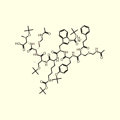 CC(=O)NCSC[C@H](NC(=O)[C@H](N)Cc1ccccc1)C(=O)N[C@@H](Cc1ccc(OC(C)(C)C)cc1)C(=O)N[C@H](Cc1cn(C(=O)OC(C)(C)C)c2ccccc12)C(=O)N[C@@H](CCCCNC(=O)OC(C)(C)C)C(=O)N[C@H](C(=O)N[C@@H](CSCNC(C)=O)C(=O)N[C@H](C(=O)O)[C@@H](C)OC(C)(C)C)[C@@H](C)OC(C)(C)C